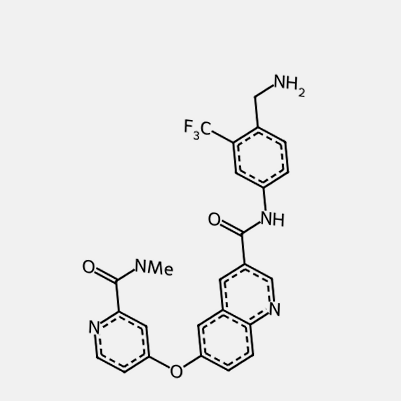 CNC(=O)c1cc(Oc2ccc3ncc(C(=O)Nc4ccc(CN)c(C(F)(F)F)c4)cc3c2)ccn1